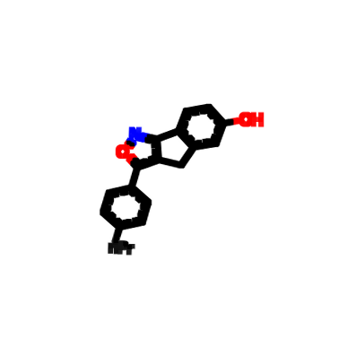 CCCc1ccc(-c2onc3c2Cc2cc(O)ccc2-3)cc1